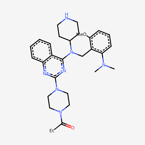 CCC(=O)N1CCN(c2nc(N(Cc3c(OC)cccc3N(C)C)C3CCNCC3)c3ccccc3n2)CC1